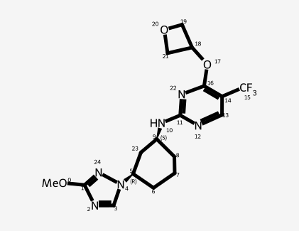 COc1ncn([C@@H]2CCC[C@H](Nc3ncc(C(F)(F)F)c(OC4COC4)n3)C2)n1